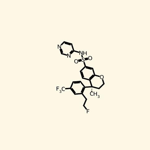 C[C@@]1(c2ccc(C(F)(F)F)cc2CCF)CCOc2cc(S(=O)(=O)Nc3ccncn3)ccc21